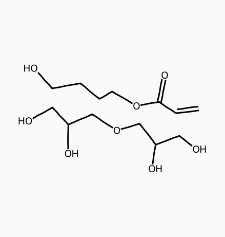 C=CC(=O)OCCCCO.OCC(O)COCC(O)CO